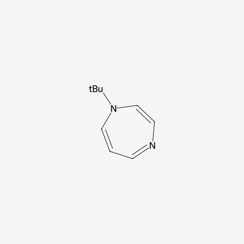 CC(C)(C)N1C=CC=NC=C1